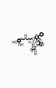 CCn1c(-c2nonc2N)nc2c(-c3ccccc3)ncc(OCCCCNCCc3ccc(O)c(O)c3)c21.O=C(O)C(F)(F)F